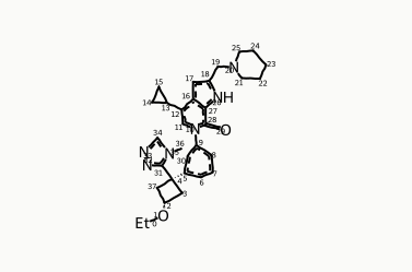 CCO[C@H]1C[C@](c2cccc(-n3cc(C4CC4)c4cc(CN5CCCCC5)[nH]c4c3=O)c2)(c2nncn2C)C1